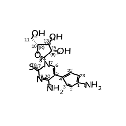 Nc1ccc(-c2cn([C@@H]3O[C@H](CO)[C@@H](O)[C@H]3O)c(=S)nc2N)cc1